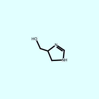 OCC1CNC=N1